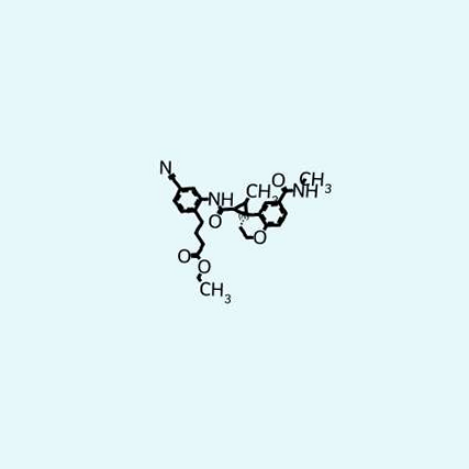 CCOC(=O)CCCc1ccc(C#N)cc1NC(=O)C1C(C)[C@]12CCOc1ccc(C(=O)NC)cc12